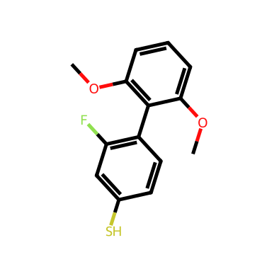 COc1cccc(OC)c1-c1ccc(S)cc1F